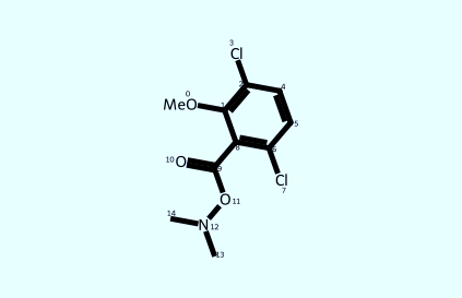 COc1c(Cl)ccc(Cl)c1C(=O)ON(C)C